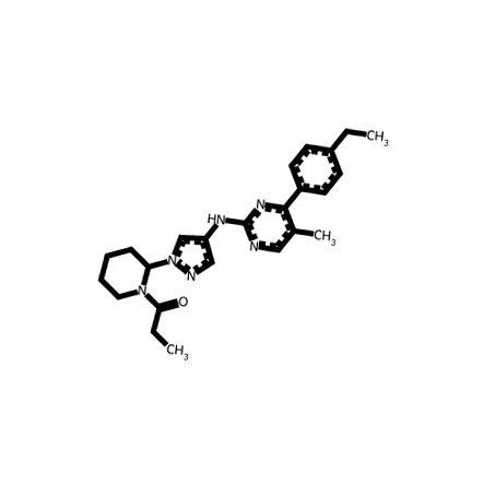 CCC(=O)N1CCCCC1n1cc(Nc2ncc(C)c(-c3ccc(CC)cc3)n2)cn1